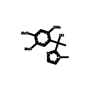 COc1cc(OC)c(C(C)(O)c2nccn2C)cc1OC